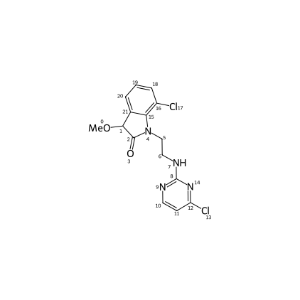 COC1C(=O)N(CCNc2nccc(Cl)n2)c2c(Cl)cccc21